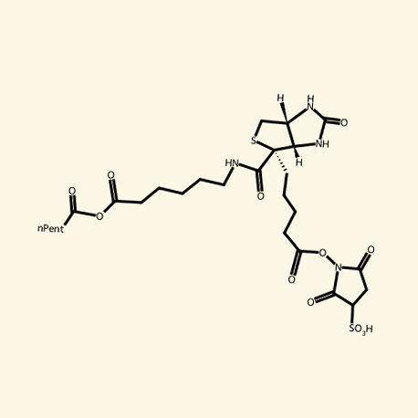 CCCCCC(=O)OC(=O)CCCCCNC(=O)[C@@]1(CCCCC(=O)ON2C(=O)CC(S(=O)(=O)O)C2=O)SC[C@@H]2NC(=O)N[C@@H]21